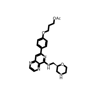 CC(=O)OCCCOc1ccc(-c2cc3nccnc3c(NC[C@@H]3CNCCO3)n2)cc1